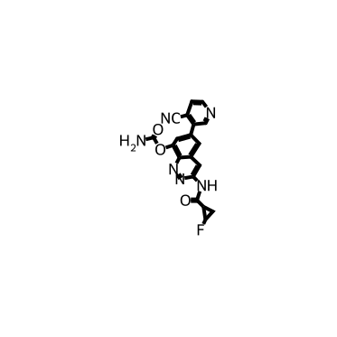 N#Cc1ccncc1-c1cc(OC(N)=O)c2nnc(NC(=O)C3CC3F)cc2c1